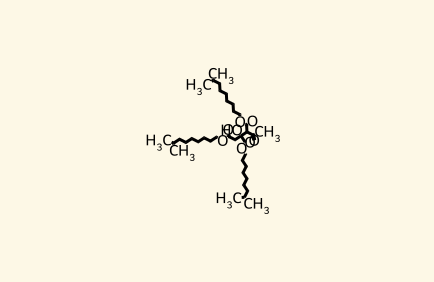 CC(=O)C(C(=O)OCCCCCCCC(C)C)C(O)(CC(=O)OCCCCCCCC(C)C)C(=O)OCCCCCCCC(C)C